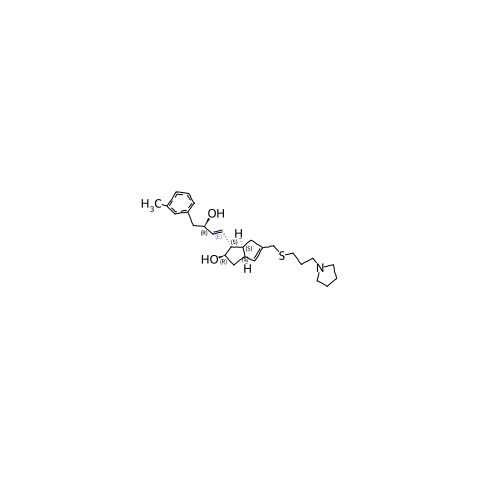 Cc1cccc(C[C@@H](O)/C=C/[C@@H]2[C@H]3CC(CSCCCN4CCCC4)=C[C@H]3C[C@H]2O)c1